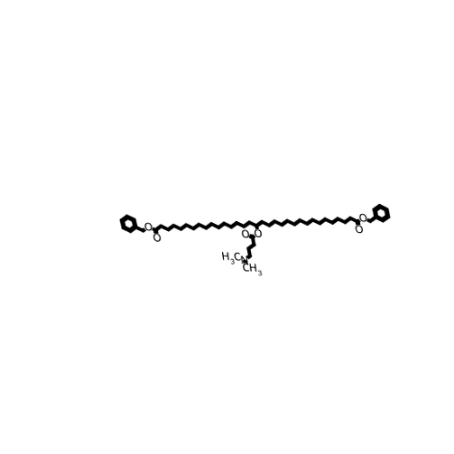 CN(C)CCCC(=O)OC(CCCCCCCCCCCCCCCC(=O)OCc1ccccc1)CCCCCCCCCCCCCCCC(=O)OCc1ccccc1